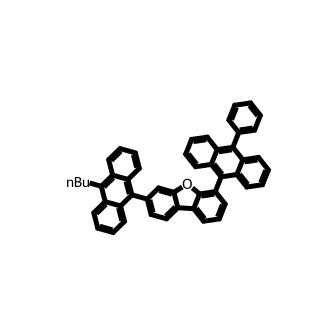 CCCCc1c2ccccc2c(-c2ccc3c(c2)oc2c(-c4c5ccccc5c(-c5ccccc5)c5ccccc45)cccc23)c2ccccc12